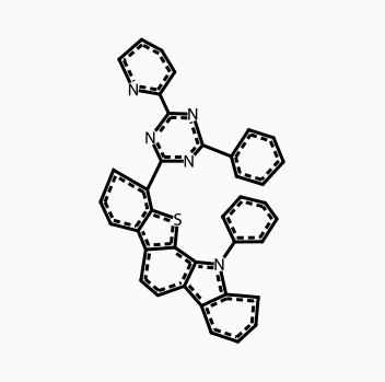 c1ccc(-c2nc(-c3ccccn3)nc(-c3cccc4c3sc3c4ccc4c5ccccc5n(-c5ccccc5)c43)n2)cc1